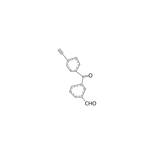 C#Cc1ccc(C(=O)c2cccc(C=O)c2)cc1